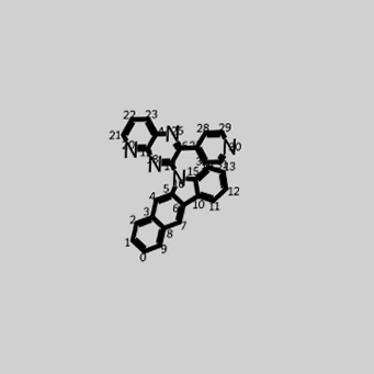 c1ccc2cc3c(cc2c1)c1ccccc1n3-c1nc2ncccc2nc1-c1ccncc1